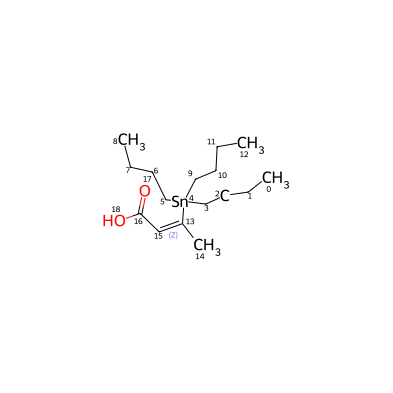 CCC[CH2][Sn]([CH2]CCC)([CH2]CCC)/[C](C)=C\C(=O)O